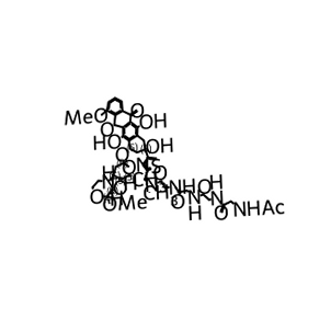 COc1cccc2c1C(=O)c1c(O)c3c(c(O)c1C2=O)C[C@@](O)(c1csc(CN(C)C(=O)CNC(=O)CNC(=O)CNC(=O)CNC(C)=O)n1)C[C@@H]3O[C@H]1C[C@H]2[C@H](O[C@@H]3[C@@H](OC)OCCN32)[C@H](C)O1